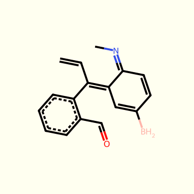 BC1=CC(=C(/C=C)c2ccccc2C=O)/C(=N\C)C=C1